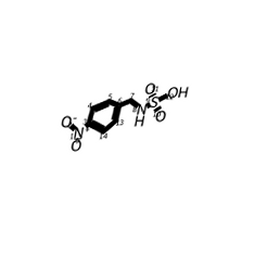 O=[N+]([O-])c1ccc(CNS(=O)(=O)O)cc1